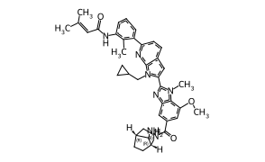 COc1cc(C(=O)N2C[C@H]3CC[C@@H]2[C@@H]3N)cc2nc(-c3cc4ccc(-c5cccc(NC(=O)C=C(C)C)c5C)nc4n3CC3CC3)n(C)c12